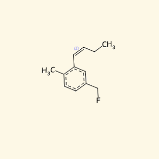 CC/C=C\c1cc(CF)ccc1C